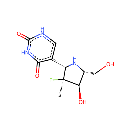 C[C@@]1(F)[C@H](O)[C@@H](CO)N[C@H]1c1c[nH]c(=O)[nH]c1=O